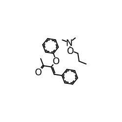 CC(=O)C(=Cc1ccccc1)Oc1ccccc1.CCCON(C)C